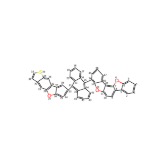 c1ccc2c(c1)oc1c2ccc2oc3c(-c4c5ccccc5c(-c5ccc6oc7cc8ccsc8cc7c6c5)c5ccccc45)cccc3c21